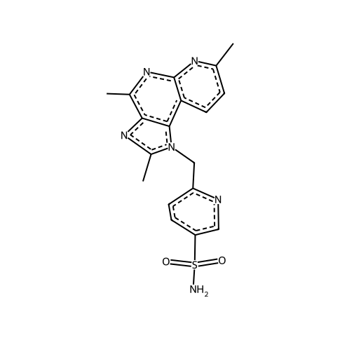 Cc1ccc2c(n1)nc(C)c1nc(C)n(Cc3ccc(S(N)(=O)=O)cn3)c12